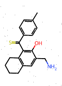 Cc1ccc(C(=S)c2c(O)c(CN)cc3c2CCCC3)cc1